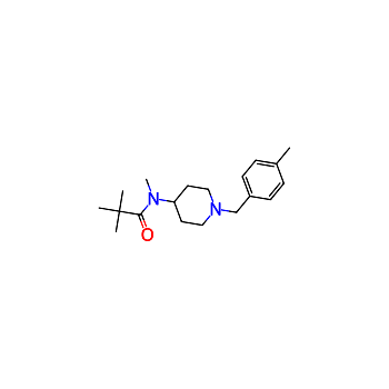 Cc1ccc(CN2CCC(N(C)C(=O)C(C)(C)C)CC2)cc1